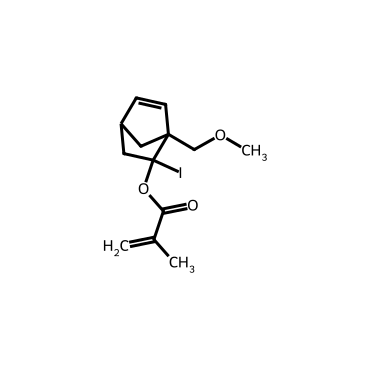 C=C(C)C(=O)OC1(I)CC2C=CC1(COC)C2